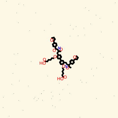 Cc1onc(Cc2cc(-c3ccc(Cc4conc4C(=O)c4ccc(-c5ccco5)cc4)c(OCCCCCC(=O)O)c3)ccc2OCCCCCC(=O)O)c1-c1ccc(-c2ccco2)cc1